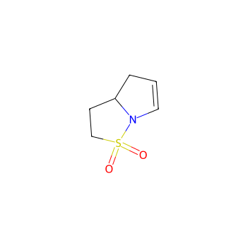 O=S1(=O)CCC2CC=CN21